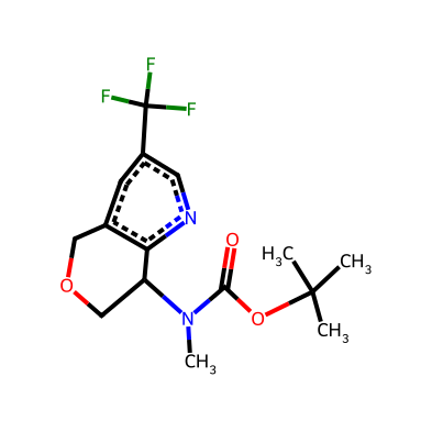 CN(C(=O)OC(C)(C)C)C1COCc2cc(C(F)(F)F)cnc21